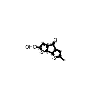 Cc1cc2c(s1)-c1sc(C=O)cc1C2=O